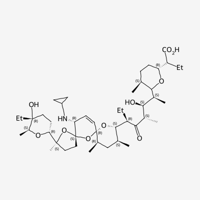 CCC(C(=O)O)[C@H]1CC[C@H](C)C([C@@H](C)[C@H](O)[C@H](C)C(=O)[C@H](CC)[C@H]2O[C@]3(C=C[C@@H](NC4CC4)[C@]4(CC[C@@](C)([C@H]5CC[C@](O)(CC)[C@H](C)O5)O4)O3)[C@H](C)C[C@@H]2C)O1